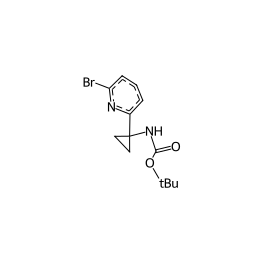 CC(C)(C)OC(=O)NC1(c2cccc(Br)n2)CC1